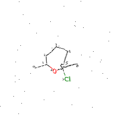 CC1CCC[Si](C)(Cl)O1